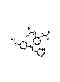 CCSc1ccc(N(Cc2cccnc2)c2ccc(OC(F)F)c(OC(F)F)c2)cc1